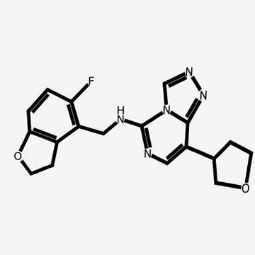 Fc1ccc2c(c1CNc1ncc(C3CCOC3)c3nncn13)CCO2